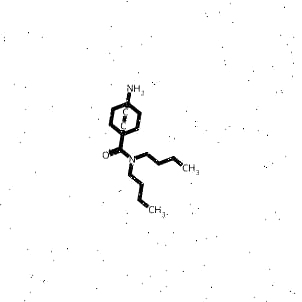 CCCCN(CCCC)C(=O)C12CCC(N)(CC1)CC2